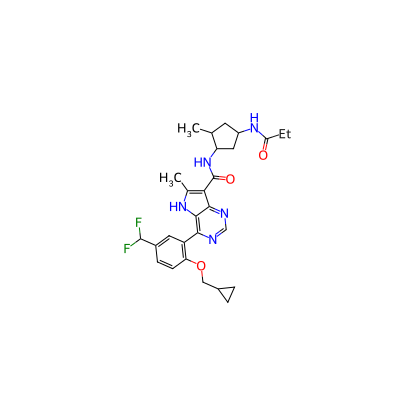 CCC(=O)NC1CC(C)C(NC(=O)c2c(C)[nH]c3c(-c4cc(C(F)F)ccc4OCC4CC4)ncnc23)C1